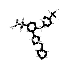 CN(P)S(=O)(=O)c1ccc(Nc2ccc(C(F)(F)F)cn2)c(-c2cn(Cc3ccccc3)cn2)c1